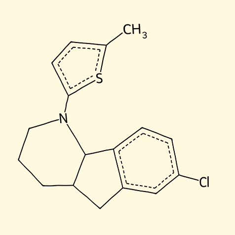 Cc1ccc(N2CCCC3Cc4cc(Cl)ccc4C32)s1